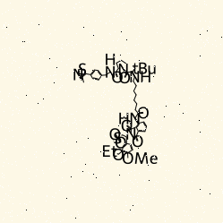 CCOc1cc(C(CS(C)(=O)=O)N2C(=O)c3cccc(NC(=O)CCCCCCCNC(C(=O)N4CCCC4C(=O)NCc4ccc(-c5scnc5C)cc4)C(C)(C)C)c3C2=O)ccc1OC